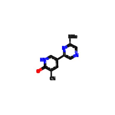 CNc1cncc(-c2c[nH]c(=O)c(C#N)c2)n1